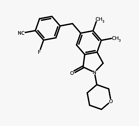 Cc1c(Cc2ccc(C#N)c(F)c2)cc2c(c1C)CN(C1CCCOC1)C2=O